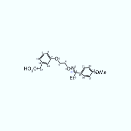 CC/C(=N\OCCOc1cccc(CC(=O)O)c1)c1ccc(OC)cc1